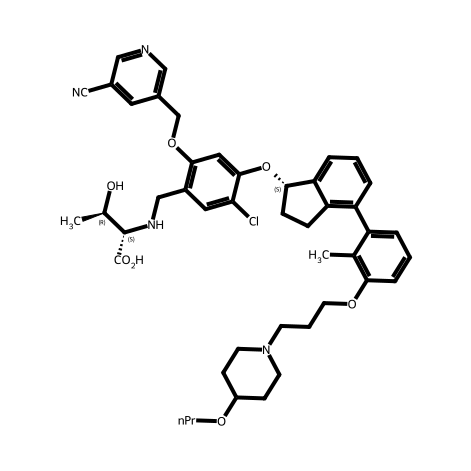 CCCOC1CCN(CCCOc2cccc(-c3cccc4c3CC[C@@H]4Oc3cc(OCc4cncc(C#N)c4)c(CN[C@H](C(=O)O)[C@@H](C)O)cc3Cl)c2C)CC1